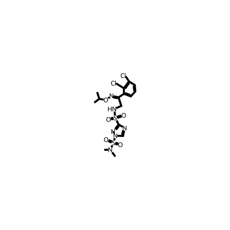 CC(C)O/N=C(\CNS(=O)(=O)c1ncn(S(=O)(=O)N(C)C)n1)c1cccc(Cl)c1Cl